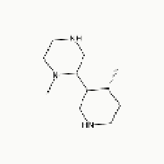 C[C@@H]1CCNCC1C1CNCCN1C